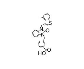 Cc1cccc2scc(Cn3c(=O)n(Cc4cccc(C(=O)O)c4)c4ccccc43)c12